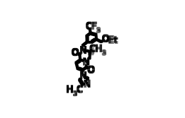 CCOCc1cc(CN2C(=O)c3ccc(-n4cnc(C)c4)c(=O)n3C[C@H]2C)cc(C(F)(F)F)c1